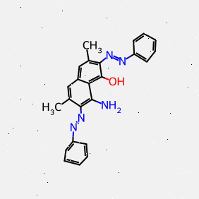 Cc1cc2cc(C)c(/N=N/c3ccccc3)c(O)c2c(N)c1/N=N/c1ccccc1